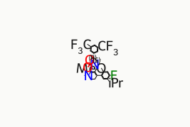 COc1cc(F)c(C(C)C)cc1C1=C(CN2C(=O)O[C@H](c3cc(C(F)(F)F)cc(C(F)(F)F)c3)[C@@H]2C)CN(C)CC1